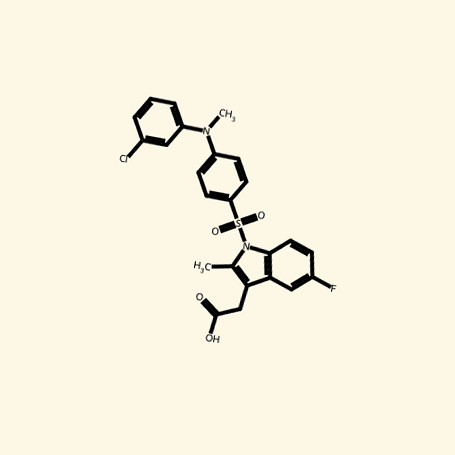 Cc1c(CC(=O)O)c2cc(F)ccc2n1S(=O)(=O)c1ccc(N(C)c2cccc(Cl)c2)cc1